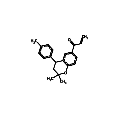 C=CC(=O)c1ccc2c(c1)C(c1ccc(C)cc1)CC(C)(C)O2